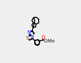 COC(=O)c1cccc(-c2csc3nc(C45CC6CCCC(C4)C(C6)C5)cn23)c1